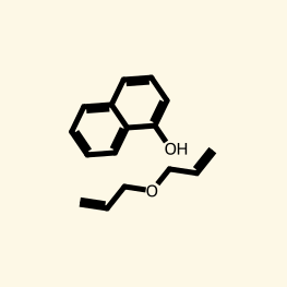 C=CCOCC=C.Oc1cccc2ccccc12